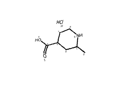 CC1CC(C(=O)O)CCN1.Cl